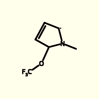 CN1[CH]C=CC1OC(F)(F)F